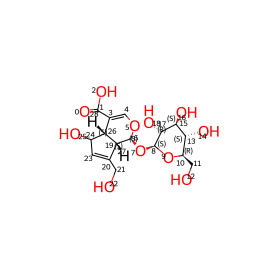 O=C(O)C1=CO[C@@H](O[C@@H]2O[C@H](CO)[C@@H](O)[C@H](O)[C@H]2O)[C@@H]2C(CO)=CC(O)[C@H]12